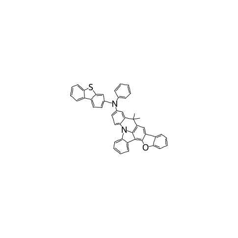 CC1(C)c2cc(N(c3ccccc3)c3ccc4c(c3)sc3ccccc34)ccc2-n2c3ccccc3c3c4oc5ccccc5c4cc1c32